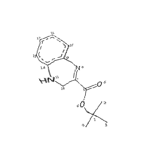 CC(C)(C)OC(=O)C1=Nc2ccccc2NC1